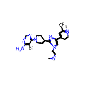 CCc1c(N)ncnc1N1CCC(c2nc(-c3ccnc(C(F)(F)F)c3)cn2CCN(C)C)CC1